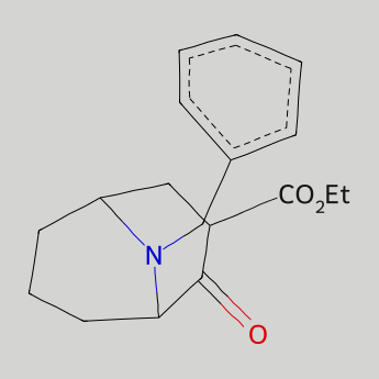 CCOC(=O)C1CC2CCCC(C1=O)N2Cc1ccccc1